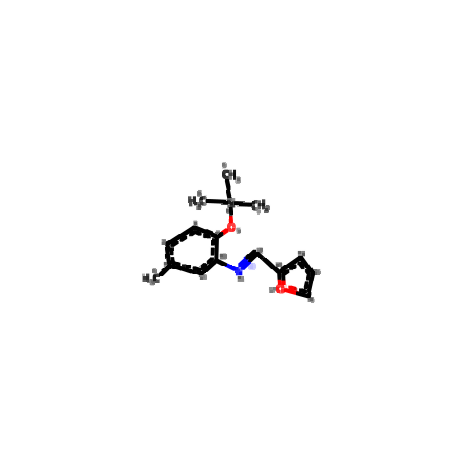 Cc1ccc(O[Si](C)(C)C)c(/N=C/c2ccco2)c1